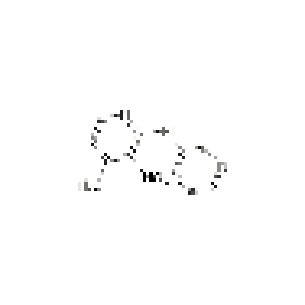 Cc1ccnc(Nc2cccnc2)c1[N+](=O)[O-]